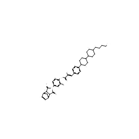 CCCCCC1CCC(C2CCC(c3ccc(/C=C(\C)C(=O)Oc4ccc(N5C(=O)C6C7C=CC(C7)C6C5=O)cc4C)cc3)CC2)CC1